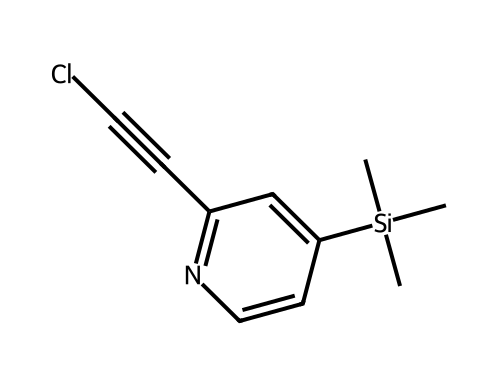 C[Si](C)(C)c1ccnc(C#CCl)c1